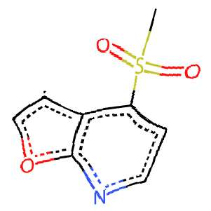 CS(=O)(=O)c1ccnc2oc[c]c12